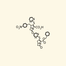 O=C(O)C1=C(Sc2ncccn2)C(Cc2ccc([N+](=O)[O-])cc2)C2CC(=O)N12.O=C(OCc1ccccc1)C1=C(Sc2ncccn2)CC2CC(=O)N12